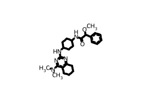 COC(C(=O)NC1CCC(Nc2nc3c(c(N(C)C)n2)CCCC3)CC1)c1ccccc1